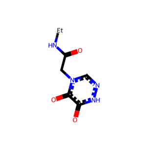 CCNC(=O)Cn1[c]n[nH]c(=O)c1=O